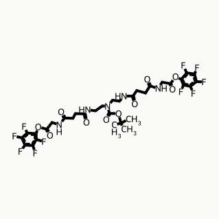 CC(C)(C)OC(=O)N(CCNC(=O)CCC(=O)NCC(=O)Oc1c(F)c(F)c(F)c(F)c1F)CCNC(=O)CCC(=O)NCC(=O)Oc1c(F)c(F)c(F)c(F)c1F